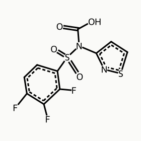 O=C(O)N(c1ccsn1)S(=O)(=O)c1ccc(F)c(F)c1F